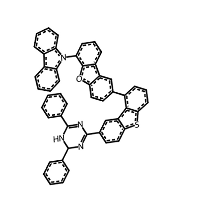 c1ccc(C2=NC(c3ccc4sc5cccc(-c6ccc7oc8c(-n9c%10ccccc%10c%10ccccc%109)cccc8c7c6)c5c4c3)=NC(c3ccccc3)N2)cc1